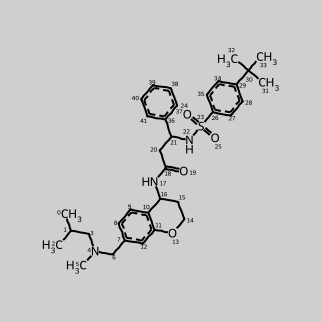 CC(C)CN(C)Cc1ccc2c(c1)OCCC2NC(=O)CC(NS(=O)(=O)c1ccc(C(C)(C)C)cc1)c1ccccc1